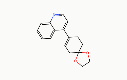 C1=C(c2ccnc3ccccc23)CCC2(C1)OCCO2